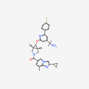 Cc1cc(C(=O)N2C[C@@H]3C(Oc4cc(C(C)(C)N)cc(-c5ccc(F)cc5)n4)[C@@H]3C2)cn2cc(C3CC3)nc12